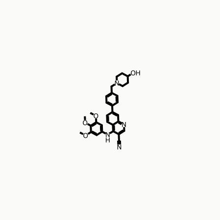 COc1cc(Nc2c(C#N)cnc3cc(-c4ccc(CN5CCC(O)CC5)cc4)ccc23)cc(OC)c1OC